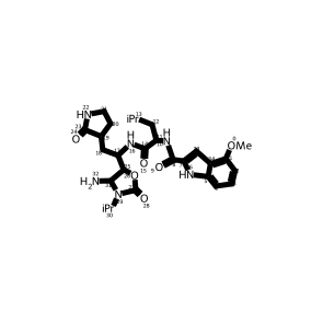 COc1cccc2[nH]c(C(=O)NC(CC(C)C)C(=O)NC(CC3CCNC3=O)C3OC(=O)N(C(C)C)C3N)cc12